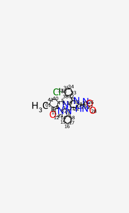 CC1CCC(Cn2c(N3CCOC[C@H]3c3ccccc3)nc3cc(-c4noc(=O)[nH]4)nc(-c4cccc(Cl)c4)c32)CC1